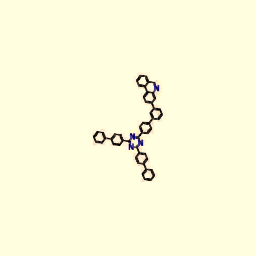 c1ccc(-c2ccc(-c3nc(-c4ccc(-c5ccccc5)cc4)nc(-c4ccc(-c5cccc(-c6ccc7c(c6)ncc6ccccc67)c5)cc4)n3)cc2)cc1